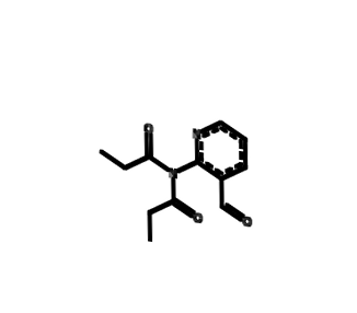 CCC(=O)N(C(=O)CC)c1ncccc1C=O